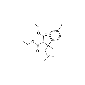 CCOC(=O)C(C(=O)OCC)C(C)(C[S+](C)C)c1ccc(F)cc1